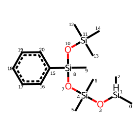 C[SiH](C)O[Si](C)(C)O[Si](C)(O[Si](C)(C)C)c1ccccc1